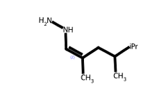 C/C(=C/NN)CC(C)C(C)C